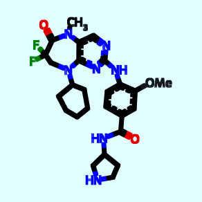 COc1cc(C(=O)NC2CCNC2)ccc1Nc1ncc2c(n1)N(C1CCCCC1)CC(F)(F)C(=O)N2C